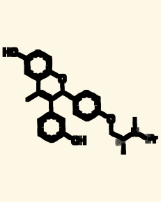 CC1=C(c2cccc(O)c2)C(c2ccc(OC[C@H](C)N(C)C(C)C)cc2)Oc2ccc(O)cc21